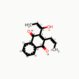 C/C=C\C1=C(C(/O)=C\C)C(=O)c2ccccc2C1=O